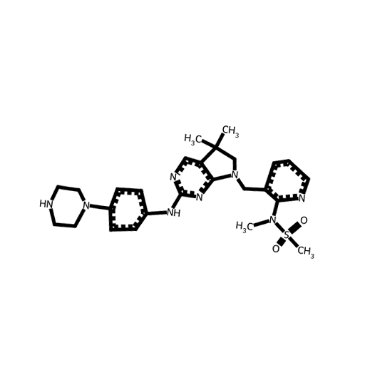 CN(c1ncccc1CN1CC(C)(C)c2cnc(Nc3ccc(N4CCNCC4)cc3)nc21)S(C)(=O)=O